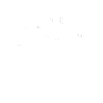 COc1cc(NC(C)CCCN)c2nccc(C)c2c1OCCCCCCCCc1ccccc1.O=C(O)/C=C/C(=O)O